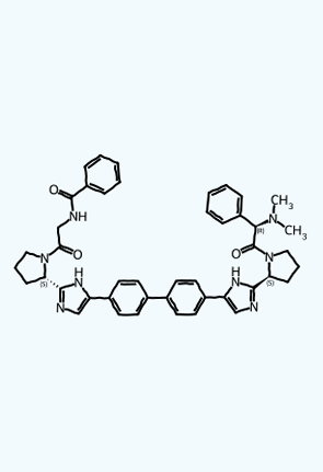 CN(C)[C@@H](C(=O)N1CCC[C@H]1c1ncc(-c2ccc(-c3ccc(-c4cnc([C@@H]5CCCN5C(=O)CNC(=O)c5ccccc5)[nH]4)cc3)cc2)[nH]1)c1ccccc1